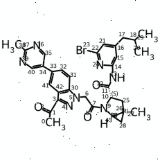 CC(=O)c1nn(CC(=O)N2[C@H](C(=O)Nc3cc(CC(C)C)cc(Br)n3)C[C@@]3(C)C[C@@H]23)c2ccc(-c3cnc(C)nc3)cc12